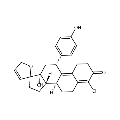 C[C@]12C[C@H](c3ccc(O)cc3)C3=C4CCC(=O)C(Cl)=C4CC[C@H]3[C@@H]1CC[C@@]21C=CCO1